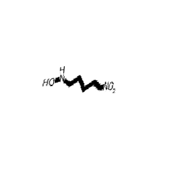 O=[N+]([O-])CCCCCNO